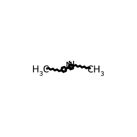 CCCCCCCCc1ccc(-c2ccc(CCCCCCC)cc2)nn1